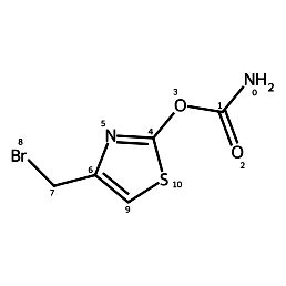 NC(=O)Oc1nc(CBr)cs1